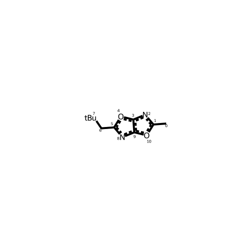 Cc1nc2oc(CC(C)(C)C)nc2o1